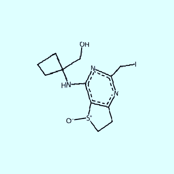 [O-][S+]1CCc2nc(CI)nc(NC3(CO)CCC3)c21